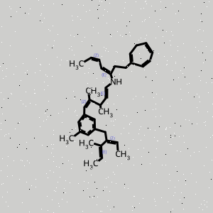 C/C=C\C=C(/CCC1=CCC=CC=C1)N/C=C/C(C)/C(C)=C\c1cc(C)cc(CC(=C/C)/C(C)=C/C)c1